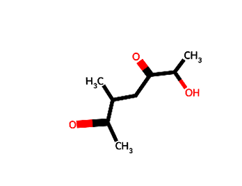 CC(=O)C(C)CC(=O)C(C)O